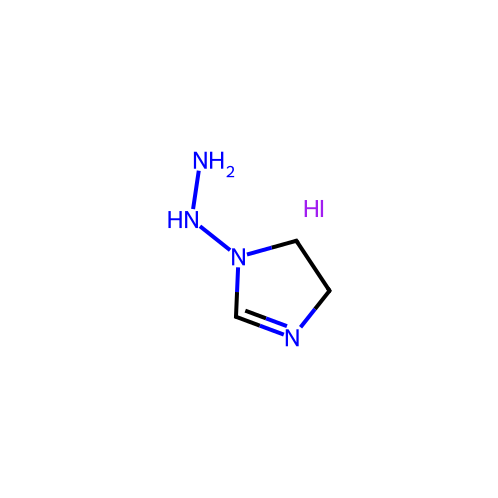 I.NNN1C=NCC1